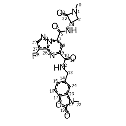 CN1C[C@H](NC(=O)c2cc(C(=O)NCc3ccc4oc(=O)n(C)c4c3)nc3c(F)cnn23)C1=O